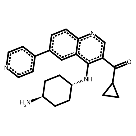 N[C@H]1CC[C@H](Nc2c(C(=O)C3CC3)cnc3ccc(-c4ccncc4)cc23)CC1